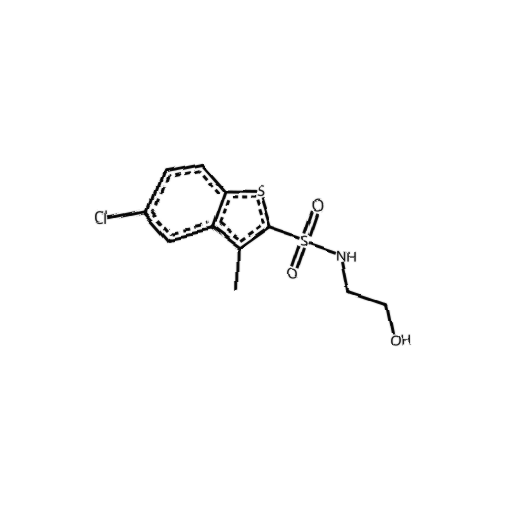 Cc1c(S(=O)(=O)NCCO)sc2ccc(Cl)cc12